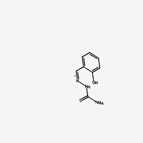 CNC(=S)N/N=C\c1ccccc1O